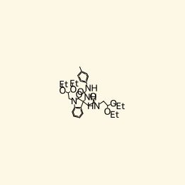 CCOC(CNC(=O)CC1(NC(=O)Nc2ccc(C)cc2)C(=O)N(CC(OCC)OCC)c2ccccc21)OCC